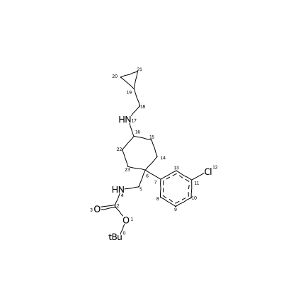 CC(C)(C)OC(=O)NCC1(c2cccc(Cl)c2)CCC(NCC2CC2)CC1